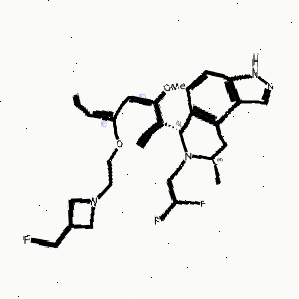 C=C(/C(=C\C(=C/C)OCCN1CC(CF)C1)OC)[C@@H]1c2ccc3[nH]ncc3c2C[C@@H](C)N1CC(F)F